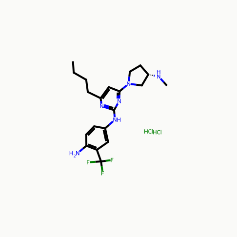 CCCCc1cc(N2CC[C@H](NC)C2)nc(Nc2ccc(N)c(C(F)(F)F)c2)n1.Cl.Cl